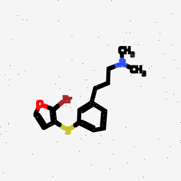 CN(C)CCCc1cccc(Sc2ccoc2Br)c1